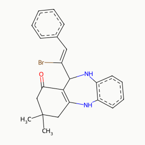 CC1(C)CC(=O)C2=C(C1)Nc1ccccc1NC2/C(Br)=C/c1ccccc1